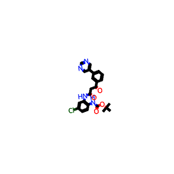 CC(C)(C)OC(=O)Nc1ccc(Cl)cc1NC(=O)CC(=O)c1cccc(-c2cncnc2)c1